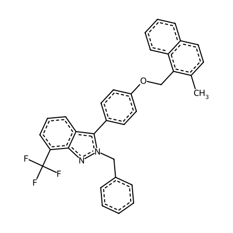 Cc1ccc2ccccc2c1COc1ccc(-c2c3cccc(C(F)(F)F)c3nn2Cc2ccccc2)cc1